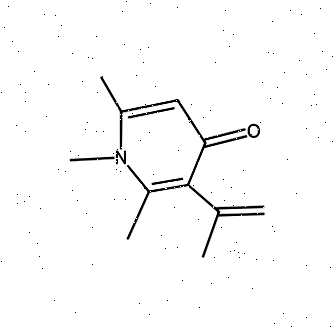 C=C(C)c1c(C)n(C)c(C)cc1=O